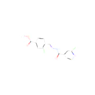 COC(=O)c1ccc(/C=N/NC(=O)c2ccnc(F)c2)c(F)c1